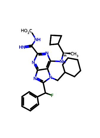 C[C@@H](Nc1nc(C(=N)NC(=O)O)nc2nc(C(F)c3ccccc3)n(CC3CCCCC3)c12)C1CCC1